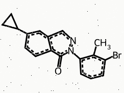 Cc1c(Br)cccc1-n1ncc2cc(C3CC3)ccc2c1=O